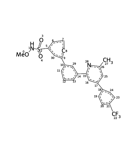 CONS(=O)(=O)c1cccc(-c2cccc(-c3cc(-c4ccc(C(F)(F)F)cc4)cc(C)n3)c2)c1